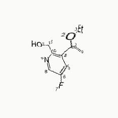 C=C(OCC)c1cc(F)cnc1CO